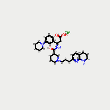 Cl.O=C(O)CC(NC(=O)C1CCCN(CCCc2ccc3c(n2)NCCC3)C1)c1cccc(N2CCCCC2)c1